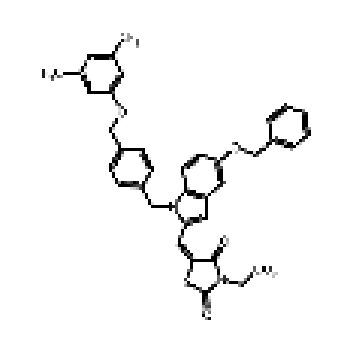 O=C(O)CN1C(=O)S/C(=C/c2cc3cc(OCc4ccccc4)ccc3n2Cc2ccc(COc3cc(C(F)(F)F)cc(C(F)(F)F)c3)cc2)C1=O